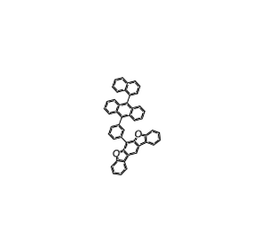 c1cc(-c2c3ccccc3c(-c3cccc4ccccc34)c3ccccc23)cc(-c2c3oc4ccccc4c3cc3c2oc2ccccc23)c1